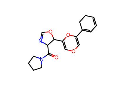 O=C(C1N=COC1C1=COC=C(C2=CC=CCC2)O1)N1CCCC1